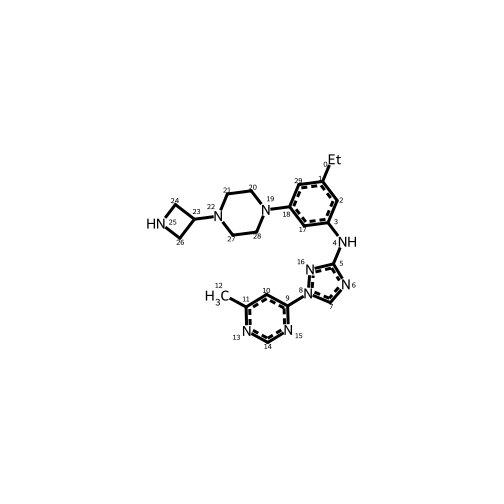 CCc1cc(Nc2ncn(-c3cc(C)ncn3)n2)cc(N2CCN(C3CNC3)CC2)c1